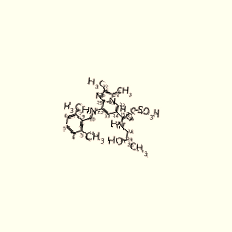 CS(=O)(=O)O.Cc1cccc(C)c1CNc1cc(C(=O)NC[C@H](C)O)cn2c(C)c(C)nc12